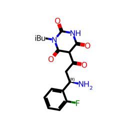 CCC(C)N1C(=O)NC(=O)C(C(=O)C[C@@H](N)c2ccccc2F)C1=O